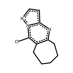 Clc1c2c(nc3ccnn13)CCCCC2